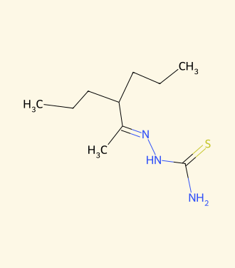 CCCC(CCC)C(C)=NNC(N)=S